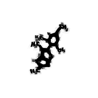 Cc1cc(C)c(-c2sc3cc(C)sc3c2C)c(C)c1